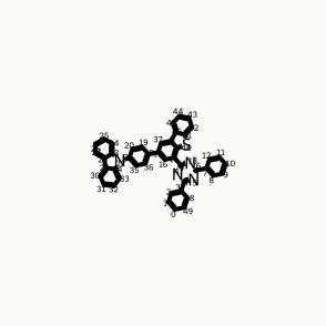 c1ccc(-c2nc(-c3ccccc3)nc(-c3cc(-c4ccc(-n5c6ccccc6c6ccccc65)cc4)cc4c3sc3ccccc34)n2)cc1